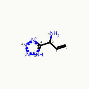 C=CC(N)c1nnn[nH]1